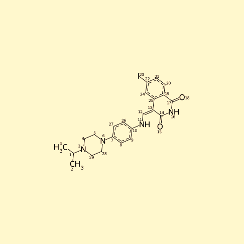 CC(C)N1CCN(c2ccc(NC=C3C(=O)NC(=O)c4ccc(I)cc43)cc2)CC1